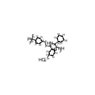 CNC(=O)[C@@H](N[C@H](CCc1ccc(C(F)(F)F)cc1)c1cccc(C)c1)c1ccccc1.Cl